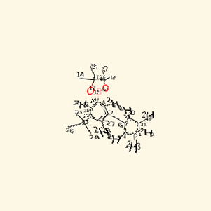 [2H]c1c([2H])c([2H])c(-c2c([2H])c(B3OC(C)(C)C(C)(C)O3)c([2H])c(C(C)(C)C)c2[2H])c([2H])c1[2H]